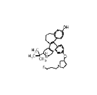 CC(C)(C)C1CC(C2=C(c3ccc(O[C@H]4CCN(CCCF)C4)cc3)c3ccc(O)cc3CCC2)=CCN1